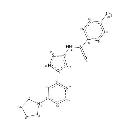 O=C(Nc1nc(-c2cc(N3CCCC3)ccn2)ns1)c1ccc(C(F)(F)F)cc1